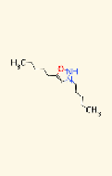 CCCCCC1=CN(CCCCC)NO1